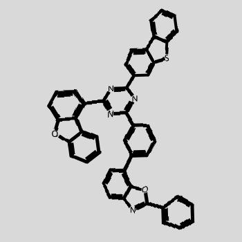 c1ccc(-c2nc3cccc(-c4cccc(-c5nc(-c6ccc7c(c6)sc6ccccc67)nc(-c6cccc7oc8ccccc8c67)n5)c4)c3o2)cc1